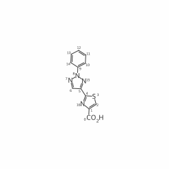 O=C(O)c1csc(-c2cnn(-c3ccccc3)n2)n1